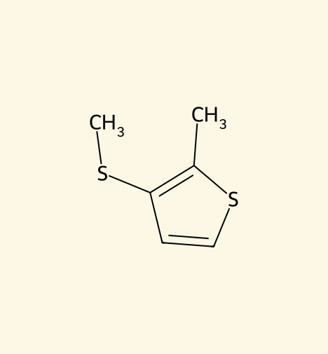 CSc1ccsc1C